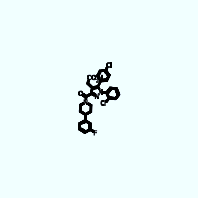 O=C(O)Cc1c(C(=O)N2CCC(c3cccc(F)c3)CC2)nn(-c2ccccc2Cl)c1-c1ccc(Cl)cc1